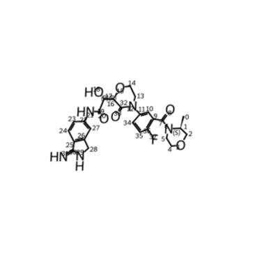 C[C@H]1COCCN1C(=O)c1cc(N2CCO[C@H]([C@@H](O)C(=O)Nc3ccc4c(c3)CNC4=N)C2=O)ccc1F